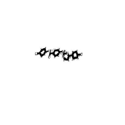 O=C(Nc1ccc(Cl)cc1)c1ccc(Nc2nccc(-c3ccc(Cl)cc3)n2)cc1